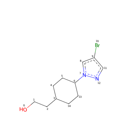 OCCC1CCC(n2cc(Br)cn2)CC1